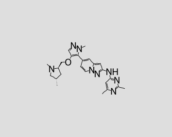 Cc1cc(Nc2cc3cc(-c4c(OC[C@H]5C[C@H](C)CN5C)cnn4C)ccn3n2)nc(C)n1